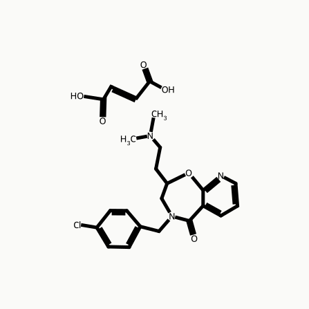 CN(C)CCC1CN(Cc2ccc(Cl)cc2)C(=O)c2cccnc2O1.O=C(O)/C=C/C(=O)O